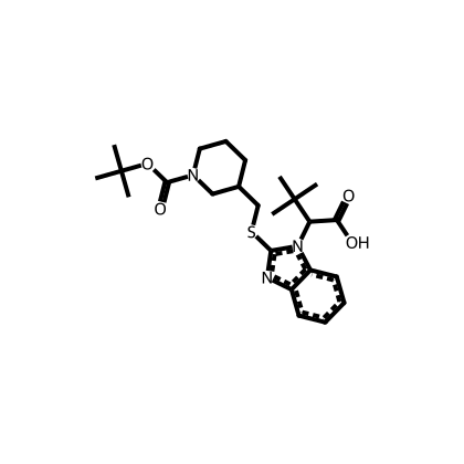 CC(C)(C)OC(=O)N1CCCC(CSc2nc3ccccc3n2C(C(=O)O)C(C)(C)C)C1